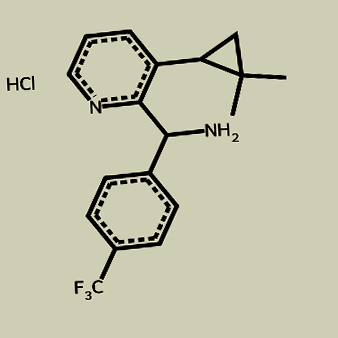 CC1(C)CC1c1cccnc1C(N)c1ccc(C(F)(F)F)cc1.Cl